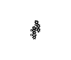 O=c1c2ccccc2oc2cc3oc4c(-n5c6ccccc6c6ccc7c8ccccc8oc7c65)cccc4c(=O)c3cc12